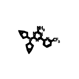 Nc1nc(-c2cccc(C(F)(F)F)n2)nc(N(C2CC3CC3C2)C2CC3CC3C2)n1